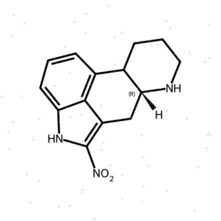 O=[N+]([O-])c1[nH]c2cccc3c2c1C[C@H]1NCCCC31